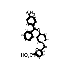 Cc1ccc(C(OC2CCN(Cc3ccc(C(=O)O)o3)CC2)c2ccccc2)cc1